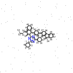 C=c1c(-c2nc(-c3ccccc3)nc(-c3ccccc3)n2)c(-c2ccc(-c3ccc4c(c3)C(C)(C)c3ccccc3-4)cc2)c2ccccc2/c1=C/C=C\C